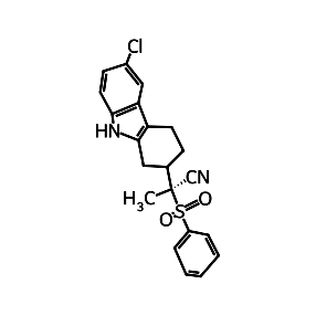 C[C@@](C#N)(C1CCc2c([nH]c3ccc(Cl)cc23)C1)S(=O)(=O)c1ccccc1